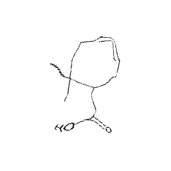 CC1(C)CC=CCC1C(=O)O